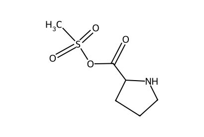 CS(=O)(=O)OC(=O)C1CCCN1